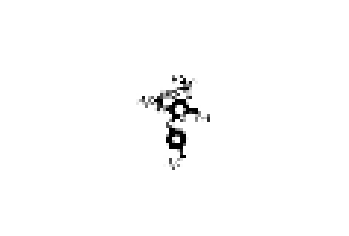 COc1ccc(OC2OC(CO)[C@H](OS(=O)(=O)O)[C@H](O)C2NC(C)=O)cc1